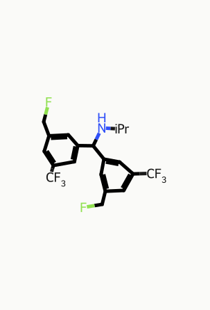 CC(C)NC(c1cc(CF)cc(C(F)(F)F)c1)c1cc(CF)cc(C(F)(F)F)c1